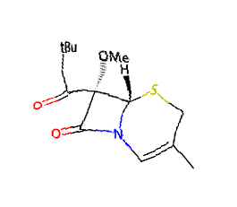 CO[C@@]1(C(=O)C(C)(C)C)C(=O)N2C=C(C)CS[C@H]21